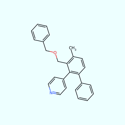 Cc1ccc(-c2ccccc2)c(-c2ccncc2)c1COCc1ccccc1